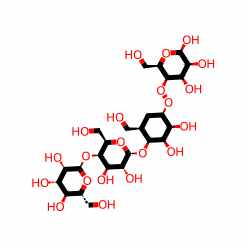 OC[C@H]1C[C@H](OO[C@@H]2[C@H](O)[C@H](O)[C@H](O)O[C@@H]2CO)[C@@H](O)[C@@H](O)[C@H]1O[C@H]1O[C@H](CO)[C@@H](O[C@@H]2O[C@H](CO)[C@@H](O)[C@H](O)[C@@H]2O)[C@H](O)[C@H]1O